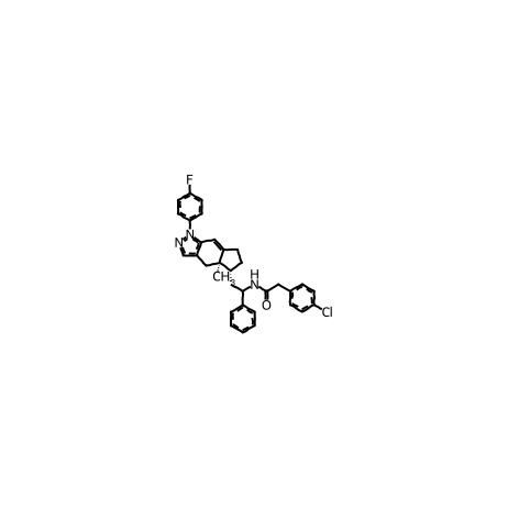 C[C@]12Cc3cnn(-c4ccc(F)cc4)c3C=C1CC[C@@H]2CC(NC(=O)Cc1ccc(Cl)cc1)c1ccccc1